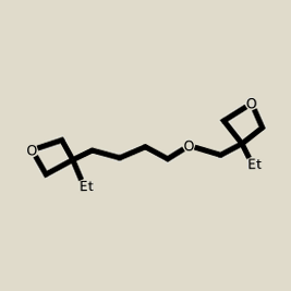 CCC1(CCCCOCC2(CC)COC2)COC1